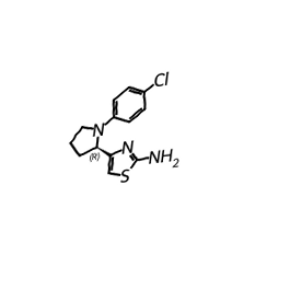 Nc1nc([C@H]2CCCN2c2ccc(Cl)cc2)cs1